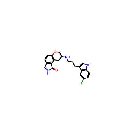 O=C1NCc2ccc3c(c21)CC(NCCCc1c[nH]c2ccc(F)cc12)CO3